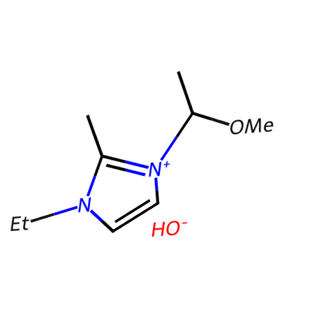 CCn1cc[n+](C(C)OC)c1C.[OH-]